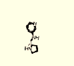 c1cncc(NC[C@@H]2CCCN2)c1